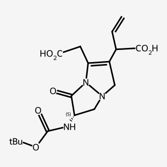 C=CC(C(=O)O)C1=C(CC(=O)O)N2C(=O)[C@@H](NC(=O)OC(C)(C)C)CN2C1